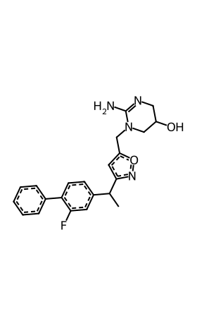 CC(c1ccc(-c2ccccc2)c(F)c1)c1cc(CN2CC(O)CN=C2N)on1